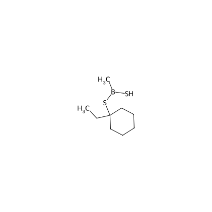 CCC1(SB(C)S)CCCCC1